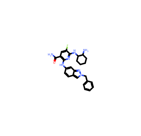 NC(=O)c1cc(F)c(NC2CCCCC2N)nc1Nc1ccc2cn(Cc3ccccc3)nc2c1